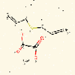 C=CCSCC=C.O=C([O-])C(=O)[O-].[Ca+2]